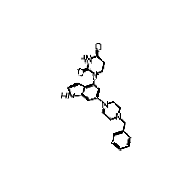 O=C1CCN(c2cc(N3CCN(Cc4ccccc4)CC3)cc3[nH]ccc23)C(=O)N1